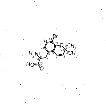 CC1(C)C=Cc2c(C[C@H](N)C(=O)O)ccc(Br)c2O1